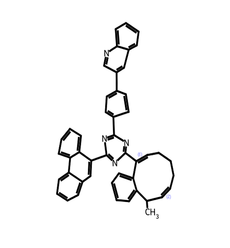 CC1/C=C\CCC/C=C(/c2nc(-c3ccc(-c4cnc5ccccc5c4)cc3)nc(-c3cc4ccccc4c4ccccc34)n2)c2ccccc21